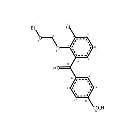 CCOCOc1c(Cl)cccc1C(=O)c1ccc(C(=O)O)cc1